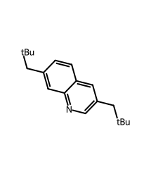 CC(C)(C)Cc1cnc2cc(CC(C)(C)C)ccc2c1